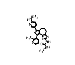 CNC(=O)Nc1nc2c(s1)-c1c(c(-c3ccc(NC)nc3)nn1-c1cccnc1C)CCC2